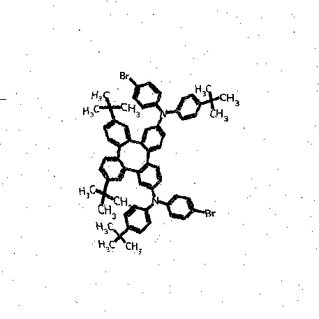 CC(C)(C)c1ccc(N(c2ccc(Br)cc2)c2ccc3c(c2)-c2cc(C(C)(C)C)ccc2-c2ccc(C(C)(C)C)cc2-c2cc(N(c4ccc(Br)cc4)c4ccc(C(C)(C)C)cc4)ccc2-3)cc1